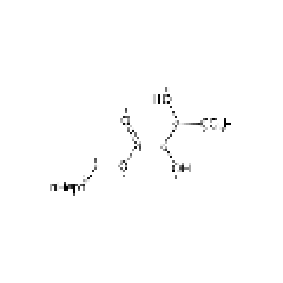 CCCCCCCCOC(=O)C(O)C(O)C(=O)O